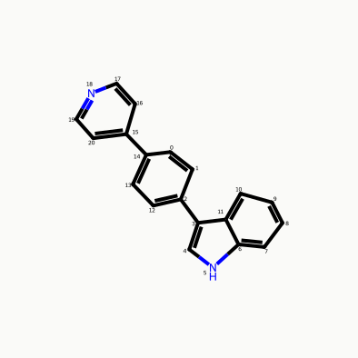 [c]1cc(-c2c[nH]c3ccccc23)ccc1-c1ccncc1